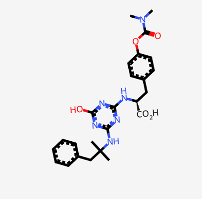 CN(C)C(=O)Oc1ccc(C[C@H](Nc2nc(O)nc(NC(C)(C)Cc3ccccc3)n2)C(=O)O)cc1